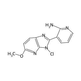 COc1ccc2nc(-c3cccnc3N)n(Cl)c2n1